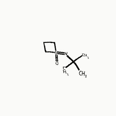 CC(C)(C)N=S1(=O)CCC1